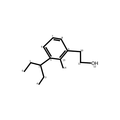 CCC(CC)c1cccc(CCO)c1C